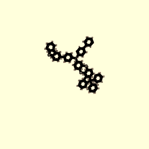 c1ccc(-c2ccc(N(c3ccc(-c4ccc5oc6ccccc6c5c4)cc3)c3ccc4c(c3)Oc3ccc5c(c3O4)-c3ccccc3C5(c3ccccc3)c3ccccc3)cc2)cc1